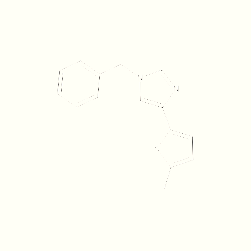 Cc1ccc(-c2cn(Cc3ccccc3)cn2)s1